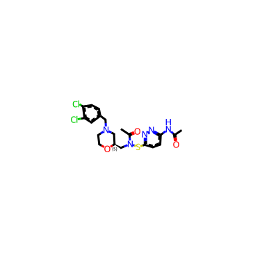 CC(=O)Nc1ccc(SN(C[C@@H]2CN(Cc3ccc(Cl)c(Cl)c3)CCO2)C(C)=O)nn1